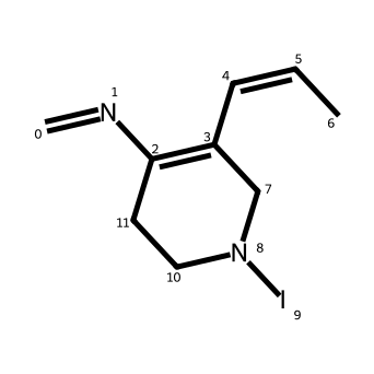 C=NC1=C(/C=C\C)CN(I)CC1